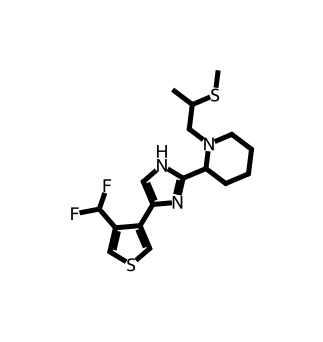 CSC(C)CN1CCCCC1c1nc(-c2cscc2C(F)F)c[nH]1